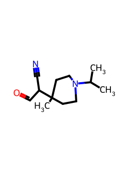 CC(C)N1CCC(C)(C(C#N)C=O)CC1